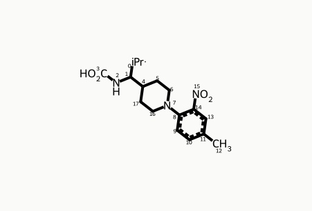 C[C](C)C(NC(=O)O)C1CCN(c2ccc(C)cc2[N+](=O)[O-])CC1